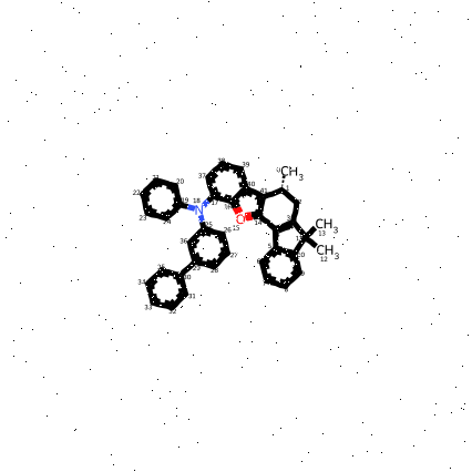 C[C@@H]1CC2=C(c3ccccc3C2(C)C)c2oc3c(N(c4ccccc4)c4cccc(-c5ccccc5)c4)cccc3c21